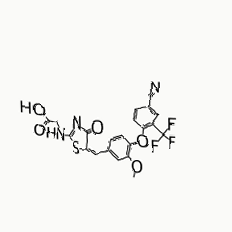 COc1cc(C=C2SC(NCC(=O)O)=NC2=O)ccc1Oc1ccc(C#N)cc1C(F)(F)F